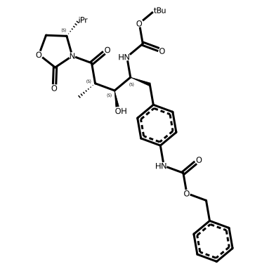 CC(C)[C@H]1COC(=O)N1C(=O)[C@@H](C)[C@H](O)[C@H](Cc1ccc(NC(=O)OCc2ccccc2)cc1)NC(=O)OC(C)(C)C